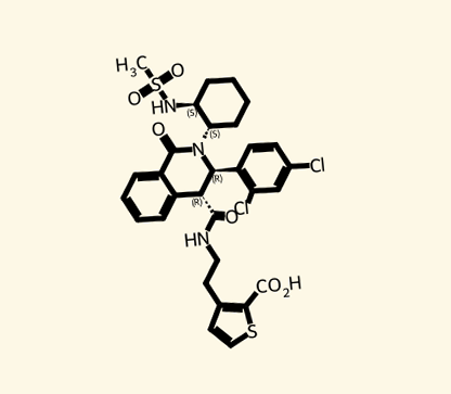 CS(=O)(=O)N[C@H]1CCCC[C@@H]1N1C(=O)c2ccccc2[C@@H](C(=O)NCCc2ccsc2C(=O)O)[C@@H]1c1ccc(Cl)cc1Cl